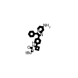 CC(C)(C)OC(=O)NC1(c2ccc(-c3nc4cc(N)ccn4c3-c3ccccc3)cc2)CCC1